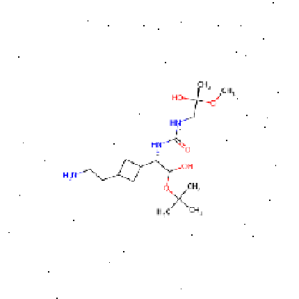 CO[C@@](C)(O)CNC(=O)N[C@@H](C1CC(CCN)C1)C(O)OC(C)(C)C